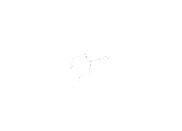 O=Nc1cc(Br)ccc1O